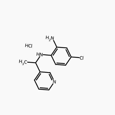 CC(Nc1ccc(Cl)cc1N)c1cccnc1.Cl